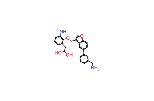 NCc1cccc(-c2ccc3occ(COc4c(N)cccc4CC(O)O)c3c2)c1